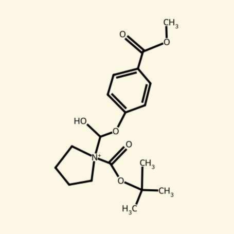 COC(=O)c1ccc(OC(O)[N+]2(C(=O)OC(C)(C)C)CCCC2)cc1